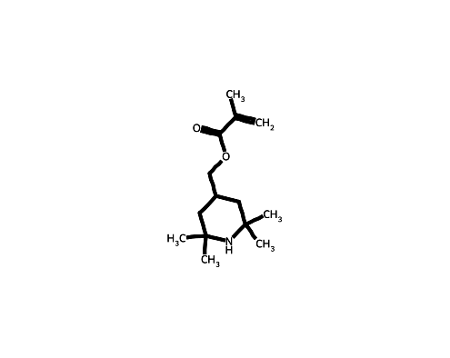 C=C(C)C(=O)OCC1CC(C)(C)NC(C)(C)C1